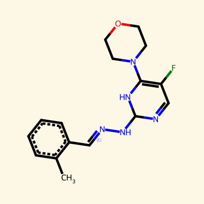 Cc1ccccc1/C=N/NC1N=CC(F)=C(N2CCOCC2)N1